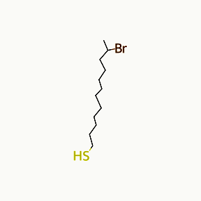 CC(Br)CCCCCCCCCCS